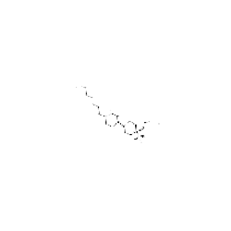 CCCCCCCC1CCC(C2CCC(CCC)(S(C)(=O)=O)CC2)CC1